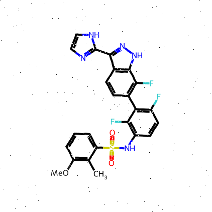 COc1cccc(S(=O)(=O)Nc2ccc(F)c(-c3ccc4c(-c5ncc[nH]5)n[nH]c4c3F)c2F)c1C